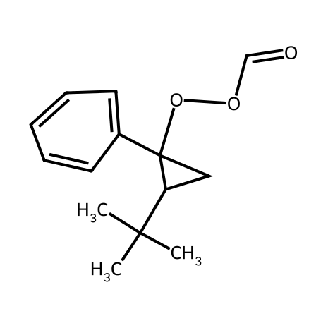 CC(C)(C)C1CC1(OOC=O)c1ccccc1